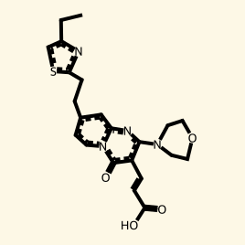 CCc1csc(CCc2ccn3c(=O)c(C=CC(=O)O)c(N4CCOCC4)nc3c2)n1